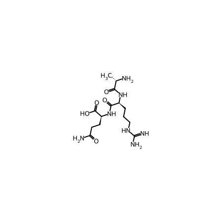 C[C@H](N)C(=O)N[C@@H](CCCNC(=N)N)C(=O)N[C@@H](CCC(N)=O)C(=O)O